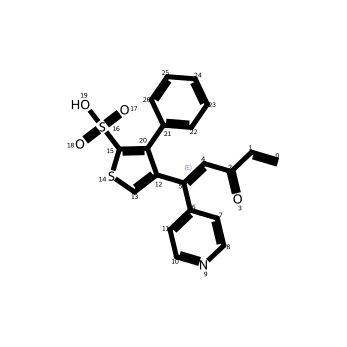 C=CC(=O)/C=C(\c1ccncc1)c1csc(S(=O)(=O)O)c1-c1ccccc1